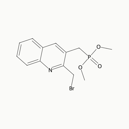 COP(=O)(Cc1cc2ccccc2nc1CBr)OC